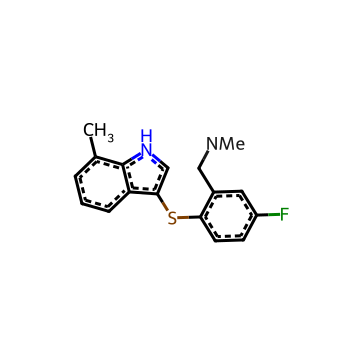 CNCc1cc(F)ccc1Sc1c[nH]c2c(C)cccc12